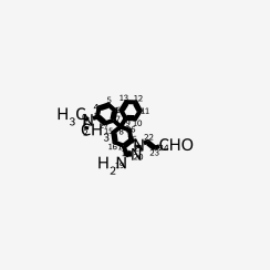 CN(C)c1cccc(C2(c3ccccc3)C=Cc3c(N)nn(C=CC=O)c3C2)c1